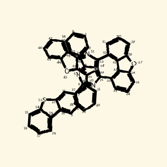 c1ccc(-c2nc(-c3ccc4c(c3)sc3ccccc34)nc(-c3cccc4oc5cccc(-c6nc(-c7ccccc7)c7oc8ccccc8c7n6)c5c34)n2)cc1